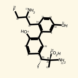 C[C@H](c1ccc(O)c(-c2cc(O)ccc2CC(N)CF)c1)[C@@](C)(N)C(=O)O